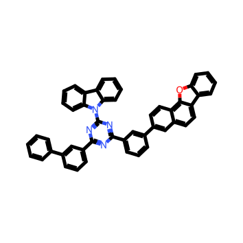 c1ccc(-c2cccc(-c3nc(-c4cccc(-c5ccc6c(ccc7c8ccccc8oc67)c5)c4)nc(-n4c5ccccc5c5ccccc54)n3)c2)cc1